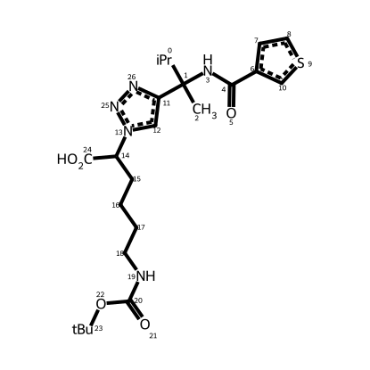 CC(C)C(C)(NC(=O)c1ccsc1)c1cn(C(CCCCNC(=O)OC(C)(C)C)C(=O)O)nn1